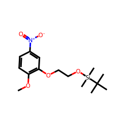 COc1ccc([N+](=O)[O-])cc1OCCO[Si](C)(C)C(C)(C)C